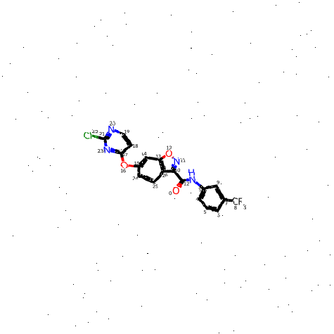 O=C(Nc1cccc(C(F)(F)F)c1)c1noc2cc(Oc3ccnc(Cl)n3)ccc12